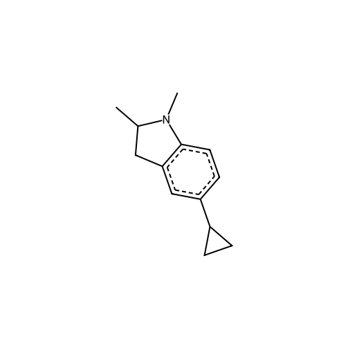 CC1Cc2cc(C3CC3)ccc2N1C